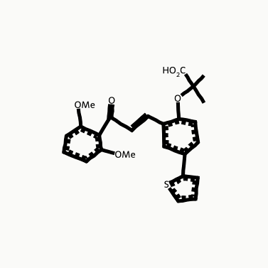 COc1cccc(OC)c1C(=O)C=Cc1cc(-c2cccs2)ccc1OC(C)(C)C(=O)O